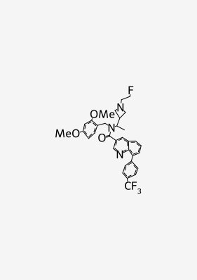 COc1ccc(CN(C(=O)c2cnc3c(-c4ccc(C(F)(F)F)cc4)cccc3c2)C(C)C2CN(CCF)C2)c(OC)c1